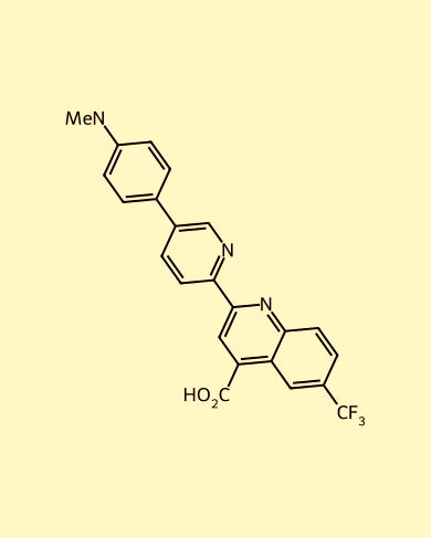 CNc1ccc(-c2ccc(-c3cc(C(=O)O)c4cc(C(F)(F)F)ccc4n3)nc2)cc1